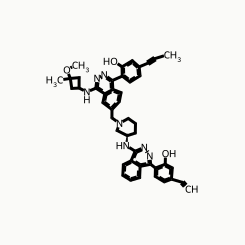 C#Cc1ccc(-c2nnc(N[C@@H]3CCCN(Cc4ccc5c(-c6ccc(C#CC)cc6O)nnc(NC6CC(C)(OC)C6)c5c4)C3)c3ccccc23)c(O)c1